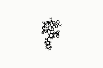 CC(=O)OC[C@H]1O[C@@H](c2cc(CC3=CC4C=CSC4S3)ccc2OC(C)=O)[C@H](OC(C)=O)[C@@H](OC(C)=O)[C@@H]1OC(C)=O